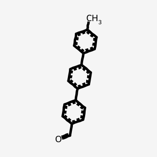 Cc1ccc(-c2ccc(-c3ccc(C=O)cc3)cc2)cc1